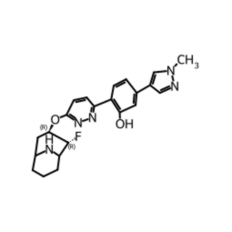 Cn1cc(-c2ccc(-c3ccc(O[C@@H]4CC5CCCC(N5)[C@H]4F)nn3)c(O)c2)cn1